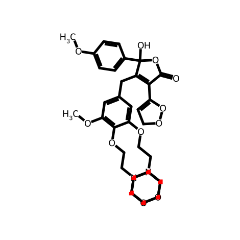 COc1ccc(C2(O)OC(=O)C(C3=CCOO3)=C2Cc2cc(OC)c(OCCN3CCOCC3)c(OCCN3CCOCC3)c2)cc1